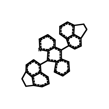 c1ccc2c(-c3ccc4c5c(cccc35)CC4)c3ncccc3c(-c3ccc4c5c(cccc35)CC4)c2c1